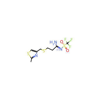 Cc1nc(CSCC/C(N)=N/S(=O)(=O)C(F)(F)F)cs1